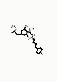 CCCC(=NOCCCCc1ccc(F)cc1)C1=C(O)CC(CC(C)SCC)CC1=O